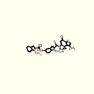 Cc1csc2c1[C@]13C[C@H]1CN(C(=O)c1cc4cc(NC(=O)c5cc6ccccc6n5C)ccc4n1C)C3=CC2=O